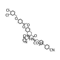 Cn1ccnc1CN1Cc2cc3c(cc2CC1C(=O)N[C@@H](Cc1ccc(-c2ccc(C#N)cc2)cc1)C(=O)O)OC[C@H](c1ccc(OCc2ccc(Cl)c(Cl)c2)cc1)O3